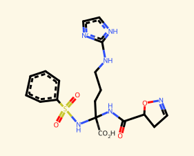 O=C(NC(CCCNc1ncc[nH]1)(NS(=O)(=O)c1ccccc1)C(=O)O)C1CC=NO1